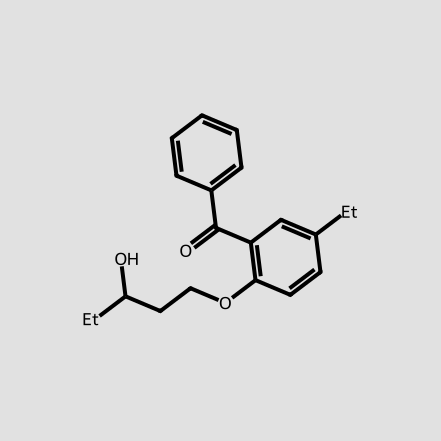 CCc1ccc(OCCC(O)CC)c(C(=O)c2ccccc2)c1